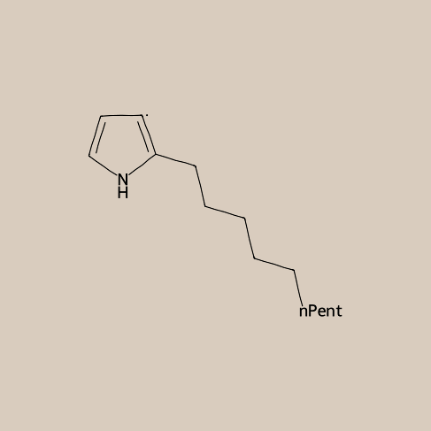 CCCCCCCCCCc1[c]cc[nH]1